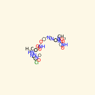 Cc1cc(S(=O)(=O)NCCO[C@H]2CC[C@H](CN3CCN(c4ccc5c(c4)n(C)c(=O)n5C4CCC(=O)NC4=O)CC3)CC2)ccc1Nc1ncc2cc(Cl)c(=O)n(C3CCCC3)c2n1